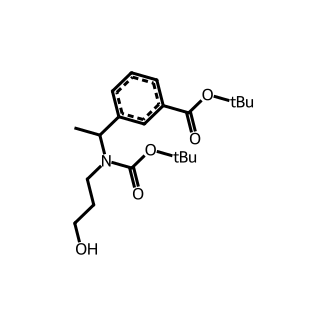 CC(c1cccc(C(=O)OC(C)(C)C)c1)N(CCCO)C(=O)OC(C)(C)C